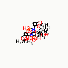 CC1(C)OCc2cccc(CN(CC(CCC(C)(C)[Si](C)(C)O)N(Cc3cccc4c3OC(C)(C)OC4)CP(=O)(O)O)CP(=O)(O)O)c2O1